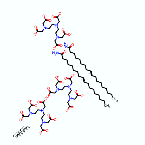 CCCCCCCC/C=C/CCCCCCCC(N)=O.CCCCCCCC/C=C/CCCCCCCC(N)=O.O=C([O-])CN(CCN(CC(=O)[O-])CC(=O)[O-])CCN(CC(=O)[O-])CC(=O)[O-].O=C([O-])CN(CCN(CC(=O)[O-])CC(=O)[O-])CCN(CC(=O)[O-])CC(=O)[O-].O=C([O-])CN(CCN(CC(=O)[O-])CC(=O)[O-])CCN(CC(=O)[O-])CC(=O)[O-].[Gd+3].[Gd+3].[Gd+3].[Gd+3].[Gd+3]